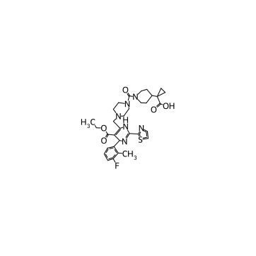 CCOC(=O)C1=C(CN2CCN(C(=O)N3CCC(C4(C(=O)O)CC4)CC3)CC2)NC(c2nccs2)=NC1c1cccc(F)c1C